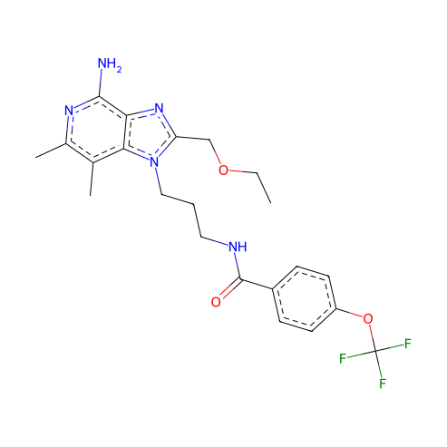 CCOCc1nc2c(N)nc(C)c(C)c2n1CCCNC(=O)c1ccc(OC(F)(F)F)cc1